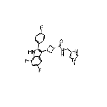 Cn1cnc(CNC(=O)[C@H]2C[C@H](c3c(-c4ccc(F)cc4)[nH]c4c(F)cc(F)cc43)C2)c1